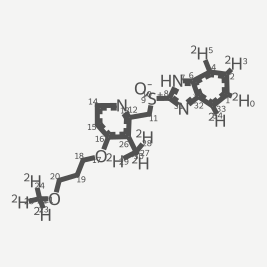 [2H]c1c([2H])c([2H])c2[nH]c([S+]([O-])Cc3nccc(OCCCOC([2H])([2H])[2H])c3C([2H])([2H])[2H])nc2c1[2H]